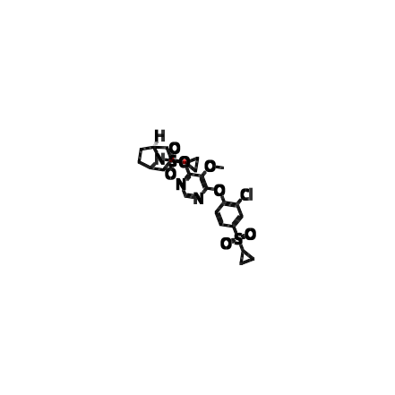 COc1c(Oc2ccc(S(=O)(=O)C3CC3)cc2Cl)ncnc1OC1CC2CC[C@@H](C1)N2S(=O)(=O)C1CC1